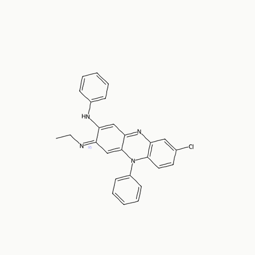 CC/N=c1/cc2n(-c3ccccc3)c3ccc(Cl)cc3nc-2cc1Nc1ccccc1